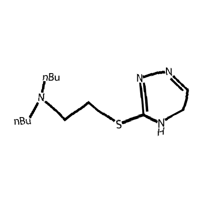 CCCCN(CCCC)CCSC1=NN=CCN1